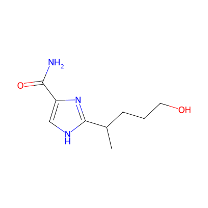 CC(CCCO)c1nc(C(N)=O)c[nH]1